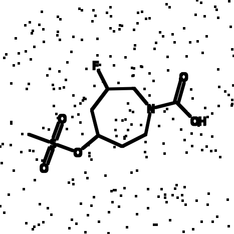 CS(=O)(=O)OC1CCN(C(=O)O)CC(F)C1